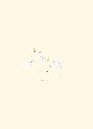 C=C(C(=O)NNC)C(C)C.C=C(CCN)C(=O)N(C)C